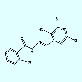 O=C(NN=Cc1cc(Cl)cc(Br)c1O)c1ccccc1O